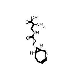 N[C@@H](CNC(=O)OC[C@H]1[C@@H]2CCC#CCC[C@@H]21)C(=O)O